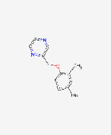 Cc1cc(C(C)(C)C)ccc1OCc1cnccn1